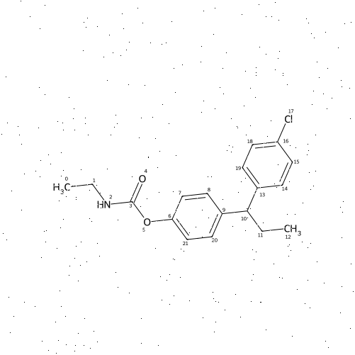 CCNC(=O)Oc1ccc([C](CC)c2ccc(Cl)cc2)cc1